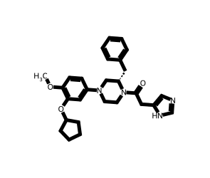 COc1ccc(N2CCN(C(=O)Cc3cnc[nH]3)[C@@H](Cc3ccccc3)C2)cc1OC1CCCC1